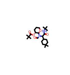 CC1(C)CCC(C(C(=O)NC(C)(C)C)N(C=O)C2OCCC[C@@H]2OC(=O)C(C)(C)C)CC1